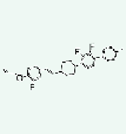 C=CCOc1ccc(/C=C/C2CCC(c3ccc(-c4ccc(C)cc4)c(F)c3F)CC2)cc1F